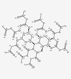 CC(=O)CC(=O)OC[C@H]1O[C@@H](O[C@H]2[C@H](OC(=O)CC(C)=O)[C@@H](OC(=O)CC(C)=O)C(OC(=O)CC(C)=O)O[C@@H]2COC(=O)CC(C)=O)[C@H](OC(=O)CC(C)=O)[C@@H](OC(=O)CC(C)=O)[C@H]1OC(=O)CC(C)=O